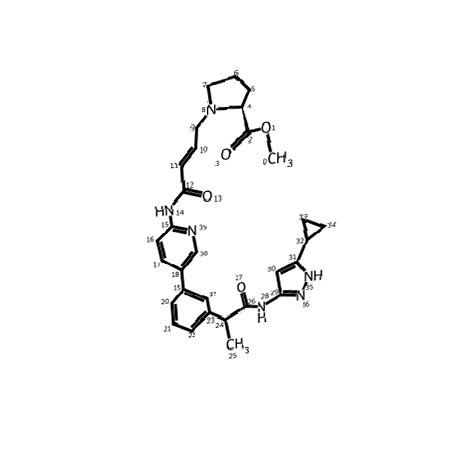 COC(=O)[C@@H]1CCCN1C/C=C/C(=O)Nc1ccc(-c2cccc(C(C)C(=O)Nc3cc(C4CC4)[nH]n3)c2)cn1